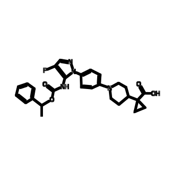 CC(OC(=O)Nc1c(F)cnn1-c1ccc(N2CCC(C3(C(=O)O)CC3)CC2)cc1)c1ccccc1